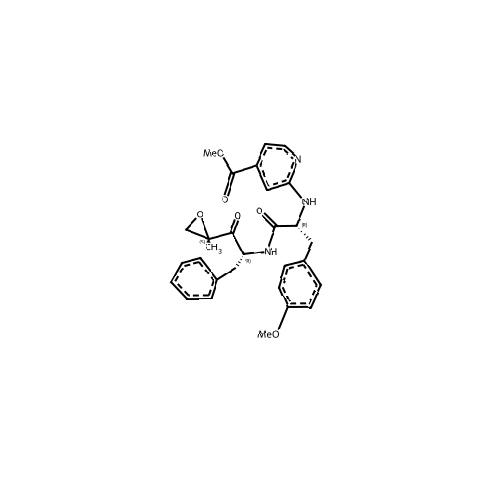 COC(=O)c1ccnc(N[C@H](Cc2ccc(OC)cc2)C(=O)N[C@H](Cc2ccccc2)C(=O)[C@]2(C)CO2)c1